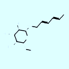 CC=CC=CCO[C@H]1O[C@H](CO)[C@@H](O)[C@H](O)[C@H]1O